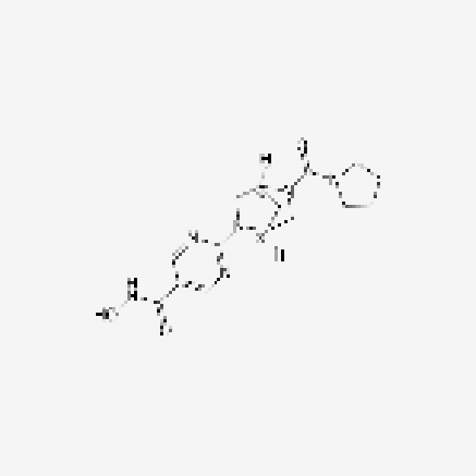 O=C(NO)c1cnc(N2C[C@@H]3C[C@H]2CN3C(=O)N2CCCC2)nc1